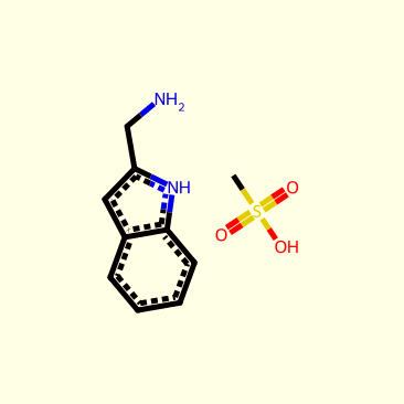 CS(=O)(=O)O.NCc1cc2ccccc2[nH]1